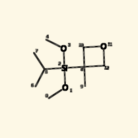 CO[Si](OC)(C(C)C)C1(C)COC1